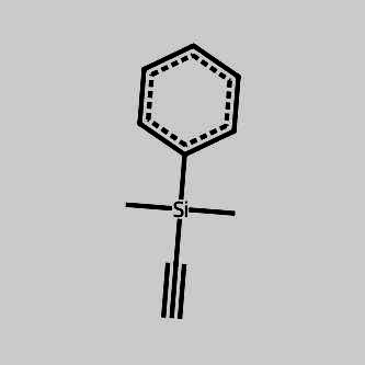 C#C[Si](C)(C)c1ccccc1